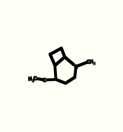 CCC1CCN(C)C2CCC12